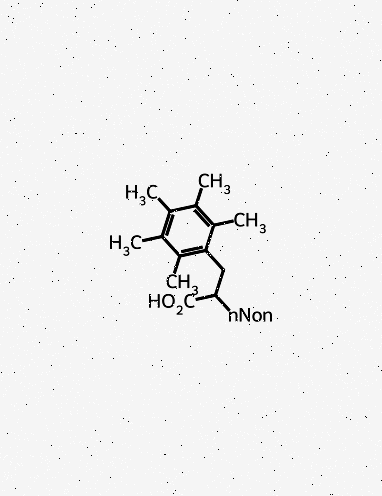 CCCCCCCCCC(Cc1c(C)c(C)c(C)c(C)c1C)C(=O)O